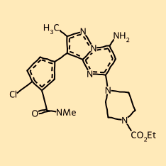 CCOC(=O)N1CCN(c2cc(N)n3nc(C)c(-c4ccc(Cl)c(C(=O)NC)c4)c3n2)CC1